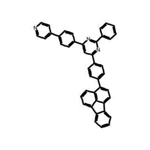 c1ccc(-c2nc(-c3ccc(-c4ccncc4)cc3)cc(-c3ccc(-c4ccc5c6c(cccc46)-c4ccccc4-5)cc3)n2)cc1